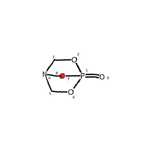 O=P12OCN(CO1)CO2